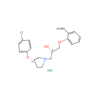 CC(=O)Nc1ccccc1OC[C@@H](O)CN1CC[C@H](Oc2ccc(Cl)cc2)C1.Cl